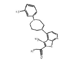 NC(=O)c1sc2nccc(N3CCCN(c4cccc(C(F)(F)F)c4)CC3)c2c1N